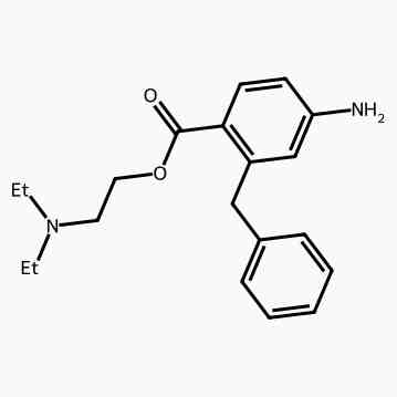 CCN(CC)CCOC(=O)c1ccc(N)cc1Cc1ccccc1